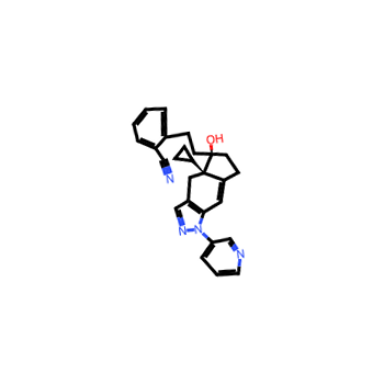 N#Cc1ccccc1CC[C@]1(O)CCC2=Cc3c(cnn3-c3cccnc3)C[C@@]21C1CC1